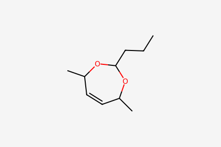 CCCC1OC(C)C=CC(C)O1